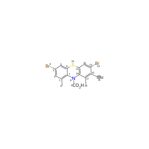 Cc1cc(Br)cc2c1N(C(=O)O)c1c(cc(Br)c(C(C)(C)C)c1C)S2